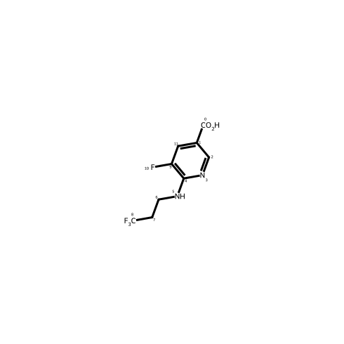 O=C(O)c1cnc(NCCC(F)(F)F)c(F)c1